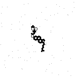 CC(C)CCC[C@@H](C)[C@H]1CCC2C3CC=C4C[C@@H](OC(C)CC(C)(C)C(=O)OC(C)(C)C)CC[C@]4(C)C3CC[C@@]21C